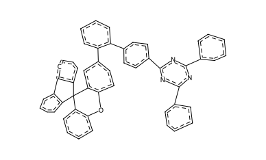 c1ccc(-c2nc(-c3ccccc3)nc(-c3ccc(-c4ccccc4-c4ccc5c(c4)C4(c6ccccc6O5)c5ccccc5-c5ccccc54)cc3)n2)cc1